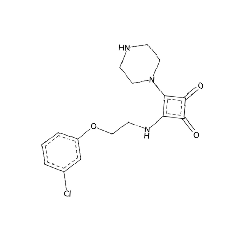 O=c1c(NCCOc2cccc(Cl)c2)c(N2CCNCC2)c1=O